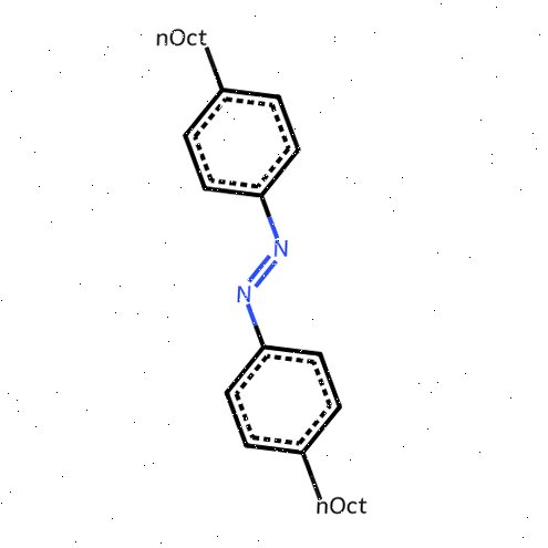 CCCCCCCCc1ccc(N=Nc2ccc(CCCCCCCC)cc2)cc1